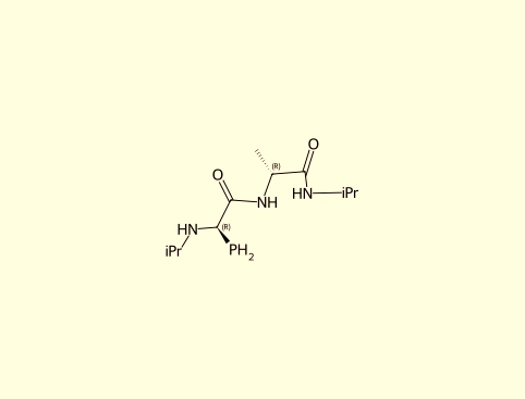 CC(C)NC(=O)[C@@H](C)NC(=O)[C@@H](P)NC(C)C